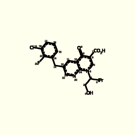 CC(C)C(CO)n1cc(C(=O)O)c(=O)c2cc(Cc3cccc(Cl)c3F)nnc21